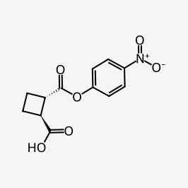 O=C(O)[C@H]1CC[C@@H]1C(=O)Oc1ccc([N+](=O)[O-])cc1